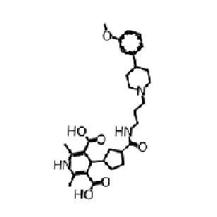 COc1cccc(C2CCN(CCCNC(=O)[C@H]3CC[C@@H](C4C(C(=O)O)=C(C)NC(C)=C4C(=O)O)C3)CC2)c1